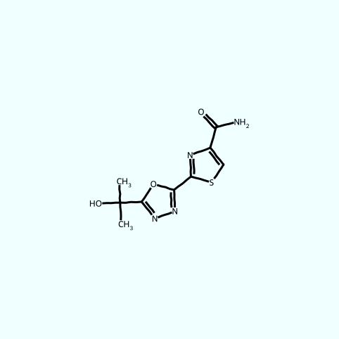 CC(C)(O)c1nnc(-c2nc(C(N)=O)cs2)o1